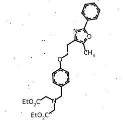 CCOC(=O)CN(CC(=O)OCC)Cc1ccc(OCCc2nc(-c3ccccc3)oc2C)cc1